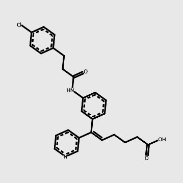 O=C(O)CCC/C=C(/c1cccnc1)c1cccc(NC(=O)CCc2ccc(Cl)cc2)c1